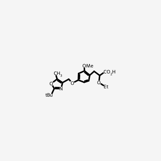 CCOC(Cc1ccc(OCc2nc(C(C)(C)C)oc2C)cc1OC)C(=O)O